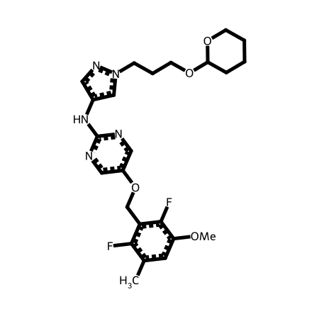 COc1cc(C)c(F)c(COc2cnc(Nc3cnn(CCCOC4CCCCO4)c3)nc2)c1F